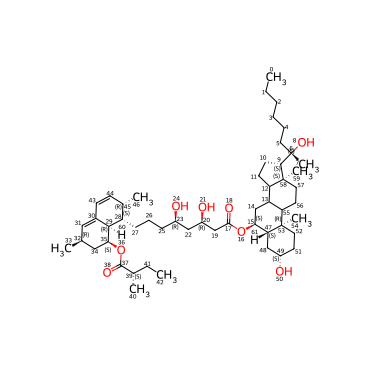 CCCCCC[C@](C)(O)[C@H]1CCC2C3C[C@H](OC(=O)C[C@H](O)C[C@H](O)CCC[C@@H]4[C@@H]5C(=C[C@H](C)C[C@@H]5OC(=O)[C@@H](C)CC)C=C[C@@H]4C)[C@H]4C[C@@H](O)CC[C@]4(C)C3CC[C@@]21C